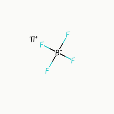 F[B-](F)(F)F.[Tl+]